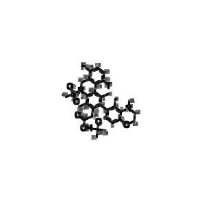 Cc1c(-c2ccc3c(c2C)N(C)CCO3)c([C@H](OC(C)(C)C)C(=O)O)c(C)c2c1-c1c(F)ccc(F)c1CN2S(C)(=O)=O